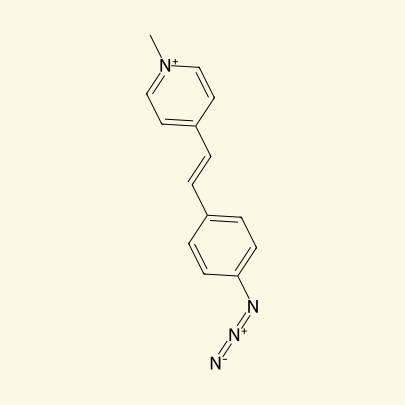 C[n+]1ccc(/C=C/c2ccc(N=[N+]=[N-])cc2)cc1